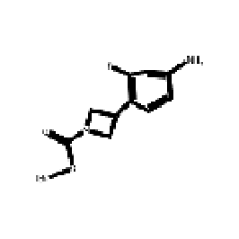 CC(C)(C)OC(=O)N1CC(c2ccc(N)cc2F)C1